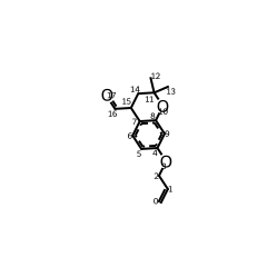 C=CCOc1ccc2c(c1)OC(C)(C)CC2C=O